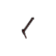 CCCCCCCCCCCCCCCCC(CCC)CC(C[CH]CCCCCCCCCCCCCCCCCCCCCCCCCCCCCCCCC(C)C)CCC